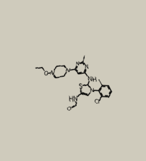 CCON1CCN(c2cc(NC3SC(NC=O)=CN3c3c(C)cccc3Cl)nc(C)n2)CC1